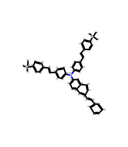 C[Si](C)(C)c1ccc(/C=C/c2ccc(N(c3ccc(/C=C/c4ccc([Si](C)(C)C)cc4)cc3)c3ccc4cc(/C=C/c5ccccc5)ccc4c3)cc2)cc1